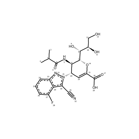 CC(C)C(=O)N[C@H]1[C@H]([C@H](O)[C@H](O)CO)OC(C(=O)O)=C[C@@H]1n1nc2cccc(F)c2c1C#N